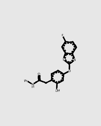 CC(C)NC(=O)Cc1ccc(Oc2nc3ccc(F)cc3s2)cc1O